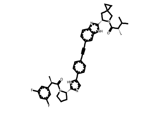 CC(C)[C@H](C)C(=O)N1CC2(CC2)C[C@H]1c1nc2ccc(C#Cc3ccc(-c4cnc([C@@H]5CCCN5C(=O)[C@H](C)c5cc(F)cc(F)c5)[nH]4)cc3)cc2[nH]1